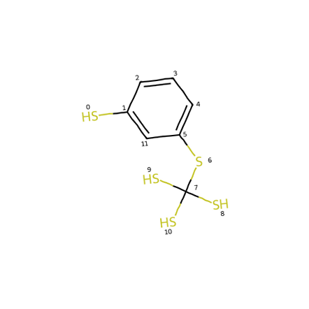 Sc1cccc(SC(S)(S)S)c1